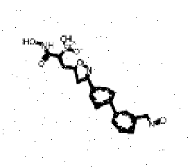 C[S+]([O-])C(CC1CC(c2ccc(-c3cccc(CN=O)c3)cc2)=NO1)C(=O)NO